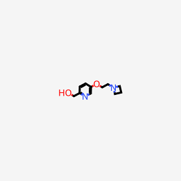 OCc1ccc(OCCN2CCC2)cn1